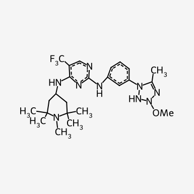 CON1N=C(C)N(c2cccc(Nc3ncc(C(F)(F)F)c(NC4CC(C)(C)N(C)C(C)(C)C4)n3)c2)N1